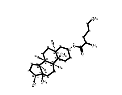 CC(=O)OCCCC(C)C(=O)O[C@@H]1CC[C@@]2(C)[C@@H](CC[C@@H]3[C@@H]2CC[C@]2(C)[C@@H](C(C)=O)CC[C@@H]32)C1